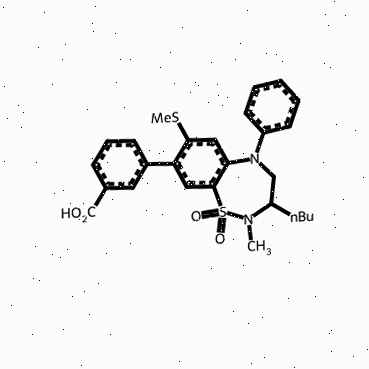 CCCCC1CN(c2ccccc2)c2cc(SC)c(-c3cccc(C(=O)O)c3)cc2S(=O)(=O)N1C